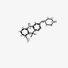 CC1(C)c2ccc(CN3CCNCC3)cc2Nc2cccc(Cl)c21